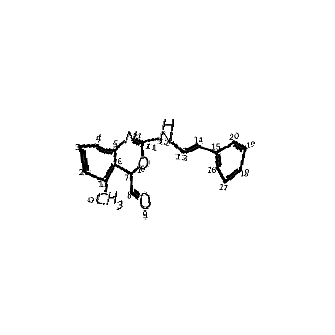 Cc1cccc2c1C(C=O)OC(NC=Cc1ccccc1)=N2